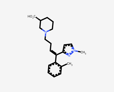 Cc1ccccc1C(=CCCN1CCCC(C(=O)O)C1)c1ccn(C)n1